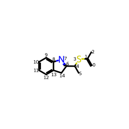 C=C(C)SC(C)C1=Nc2ccccc2C1